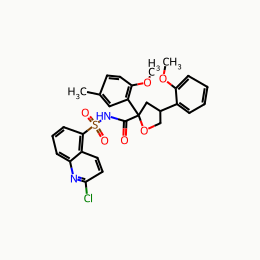 COc1ccccc1C1COC(C(=O)NS(=O)(=O)c2cccc3nc(Cl)ccc23)(c2cc(C)ccc2OC)C1